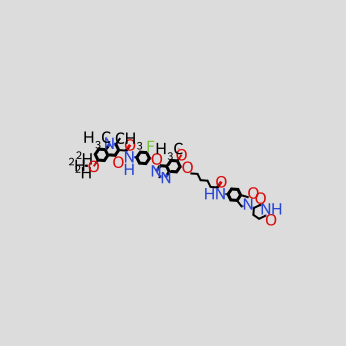 [2H]C([2H])([2H])Oc1ccc2c(c1)c(=O)c(C(=O)Nc1ccc(Oc3ncnc4cc(OCCCCCC(=O)Nc5ccc6c(c5)CN(C5CCC(=O)NC5=O)C6=O)c(OC)cc34)c(F)c1)c(C)n2C